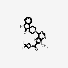 Cn1c(C(=O)N2CC(F)(F)C2)nc2c(N3CCC4(CC3)C(=O)Nc3ccccc34)ncnc21